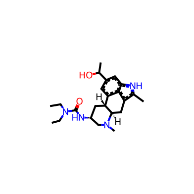 CCN(CC)C(=O)N[C@H]1C[C@@H]2c3cc(C(C)O)cc4[nH]c(C)c(c34)C[C@H]2N(C)C1